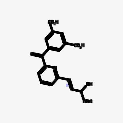 CCCCCCCCC(O)/C=C/c1cccc(C(=O)c2cc(C(=O)O)cc(C(=O)O)c2)n1